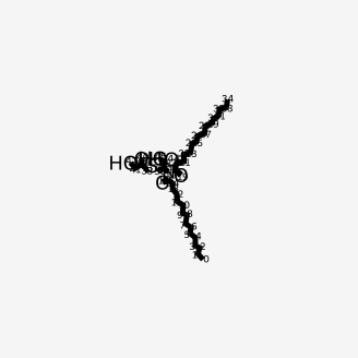 CCCCCCCCCCCCCCCC(=O)N(C(=O)CCCCCCCCCCCCCCC)C(CSCC(O)CO)C(=O)O